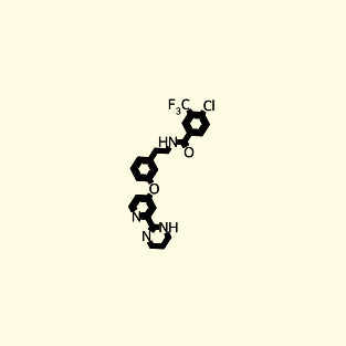 O=C(NCCc1cccc(Oc2ccnc(C3=NCCCN3)c2)c1)c1ccc(Cl)c(C(F)(F)F)c1